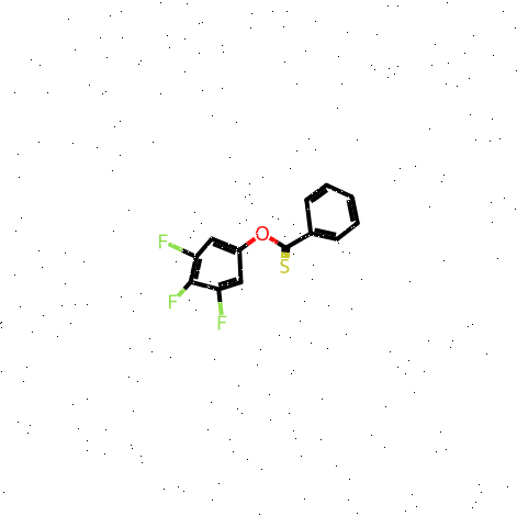 Fc1cc(OC(=S)c2ccccc2)cc(F)c1F